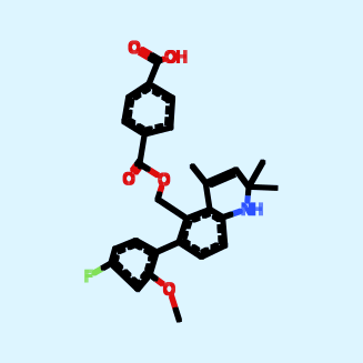 COc1cc(F)ccc1-c1ccc2c(c1COC(=O)c1ccc(C(=O)O)cc1)C(C)=CC(C)(C)N2